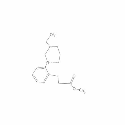 COC(=O)CCc1ccccc1N1CCCC(CO)C1